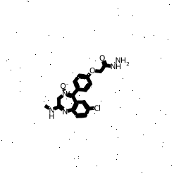 CNC1=Nc2ccc(Cl)cc2C(c2ccc(OCC(=O)NN)cc2)=[N+]([O-])C1